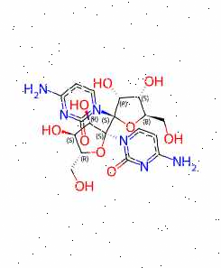 Nc1ccn([C@]2([C@@]3(n4ccc(N)nc4=O)O[C@H](CO)[C@@H](O)[C@H]3O)O[C@H](CO)[C@@H](O)[C@H]2O)c(=O)n1